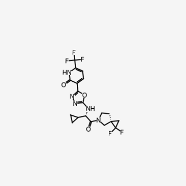 O=C([C@@H](Nc1nnc(-c2ccc(C(F)(F)F)[nH]c2=O)o1)C1CC1)N1CC[C@]2(C1)CC2(F)F